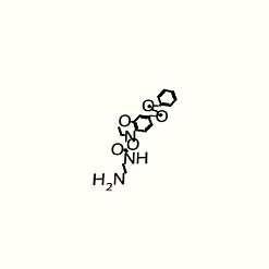 NCCNC(=O)ON1CCOc2cc(S(=O)(=O)c3ccccc3)ccc21